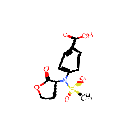 CS(=O)(=O)N(c1ccc(C(=O)O)cc1)C1CCOC1=O